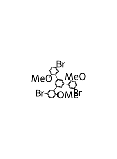 COc1ccc(Br)cc1-c1cc(-c2cc(Br)ccc2OC)cc(-c2cc(Br)ccc2OC)c1